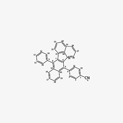 N#Cc1ccc(-c2c3c(c(-c4ccccc4)c4ccccc24)-c2cccc4cccc-3c24)cc1